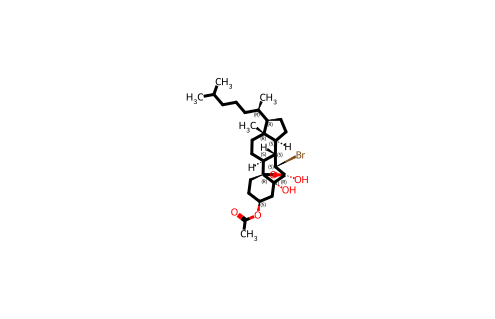 CC(=O)O[C@H]1CC[C@]23CO[C@@](O)([C@@H](Br)[C@H]4[C@@H]5CC[C@H]([C@H](C)CCCC(C)C)[C@@]5(C)CC[C@@H]42)[C@@]3(O)C1